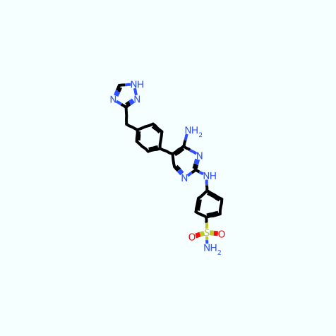 Nc1nc(Nc2ccc(S(N)(=O)=O)cc2)ncc1-c1ccc(Cc2nc[nH]n2)cc1